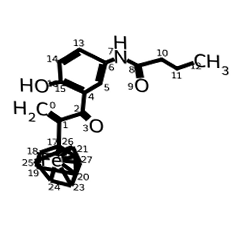 C=C(C(=O)c1cc(NC(=O)CCC)ccc1O)[C]12[CH]3[CH]4[CH]5[CH]1[Fe]45321678[CH]2[CH]1[CH]6[CH]7[CH]28